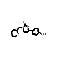 O=c1nc(-c2ccc(O)cc2)ccn1CC1CCCCO1